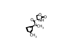 Cc1cccc(N(C)C(=O)[C@@H]2COC(=O)N2)c1